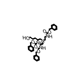 O=C(NCCN(CCNCOCc1ccccc1)CC(CCCO)NC(=O)OCc1ccccc1)OCc1ccccc1